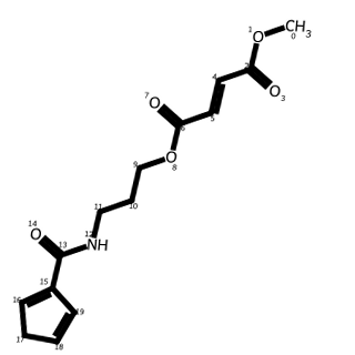 COC(=O)/C=C/C(=O)OCCCNC(=O)C1=CCC=C1